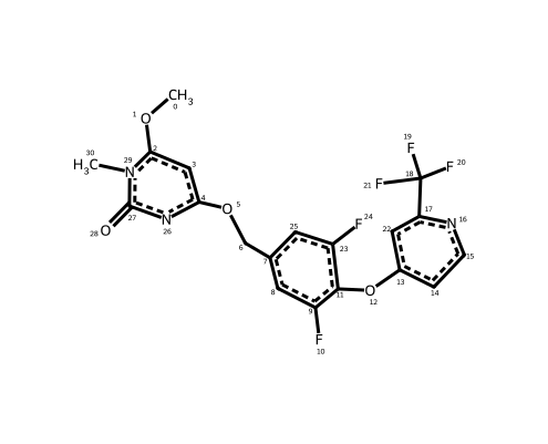 COc1cc(OCc2cc(F)c(Oc3ccnc(C(F)(F)F)c3)c(F)c2)nc(=O)n1C